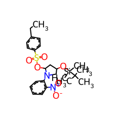 CCc1ccc(S(=O)(=O)OC2CC(O[Si](C)(C)C(C)(C)C)CN2c2ccccc2[N+](=O)[O-])cc1